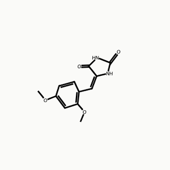 COc1ccc(/C=C2/NC(=O)NC2=O)c(OC)c1